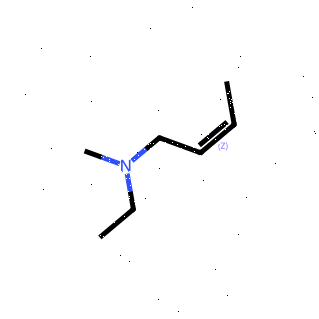 C/C=C\CN(C)CC